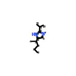 CCCC(C)c1cnc(C(C)C)[nH]1